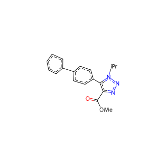 COC(=O)c1nnn(C(C)C)c1-c1ccc(-c2ccccc2)cc1